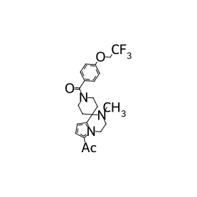 CC(=O)c1ccc2n1CCN(C)C21CCN(C(=O)c2ccc(OCC(F)(F)F)cc2)CC1